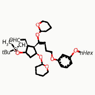 CCCCCCOc1cccc(OCC/C=C(/OC2CCCCO2)[C@H]2[C@@H](OC3CCCCO3)CC(O[Si](C)(C)C(C)(C)C)[C@H]2CC=O)c1